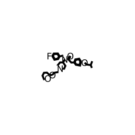 CC(C)COc1ccc(CC(=O)N(Cc2ccc(F)cc2)C2CCN(CCOC3CCCCO3)CC2)cc1